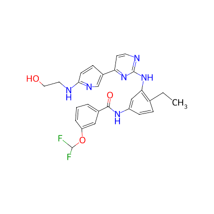 CCc1ccc(NC(=O)c2cccc(OC(F)F)c2)cc1Nc1nccc(-c2ccc(NCCO)nc2)n1